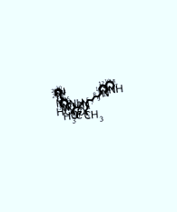 COC(C)CN(CCCCc1ccc2c(n1)NCCC2)CCC(Nc1cc(-n2cccn2)ncn1)C(=O)O